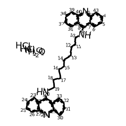 Cl.Cl.O.O.c1ccc2c(NCCCCCCCCCCNc3c4ccccc4nc4ccccc34)c3ccccc3nc2c1